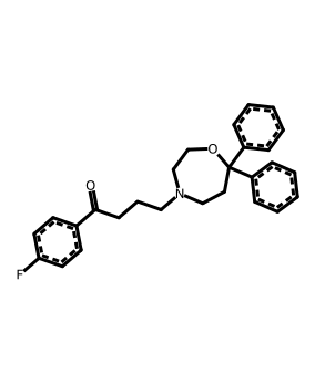 O=C(CCCN1CCOC(c2ccccc2)(c2ccccc2)CC1)c1ccc(F)cc1